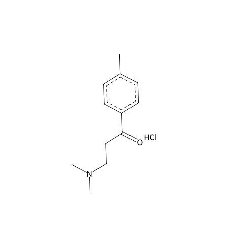 Cc1ccc(C(=O)CCN(C)C)cc1.Cl